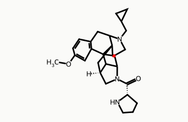 COc1ccc2c(c1)C13CCN(CC4CC4)C(C2)C12CCC1C3[C@@H](CN1C(=O)[C@@H]1CCCN1)C2